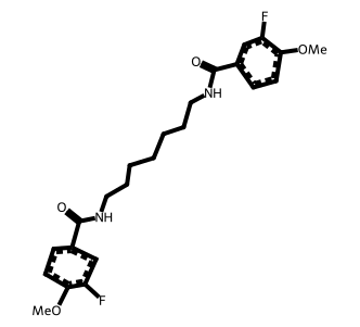 COc1ccc(C(=O)NCCCCCCCNC(=O)c2ccc(OC)c(F)c2)cc1F